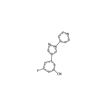 N#Cc1cc(F)cc(-c2cnn(-c3ccncc3)c2)c1